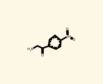 NCC(=O)c1ccc([SH](=O)=O)cc1